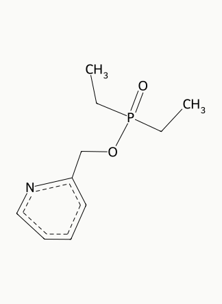 CCP(=O)(CC)OCc1ccccn1